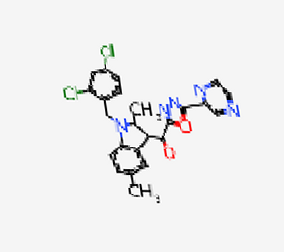 Cc1ccc2c(c1)C(C(=O)c1nnc(-c3cnccn3)o1)C(C)N2Cc1ccc(Cl)cc1Cl